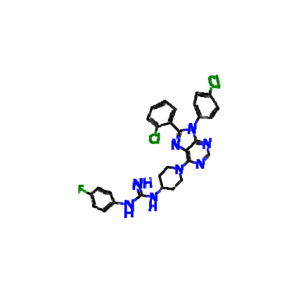 N=C(Nc1ccc(F)cc1)NC1CCN(c2ncnc3c2nc(-c2ccccc2Cl)n3-c2ccc(Cl)cc2)CC1